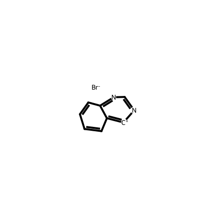 [Br-].[C+]1=c2ccccc2=NC=N1